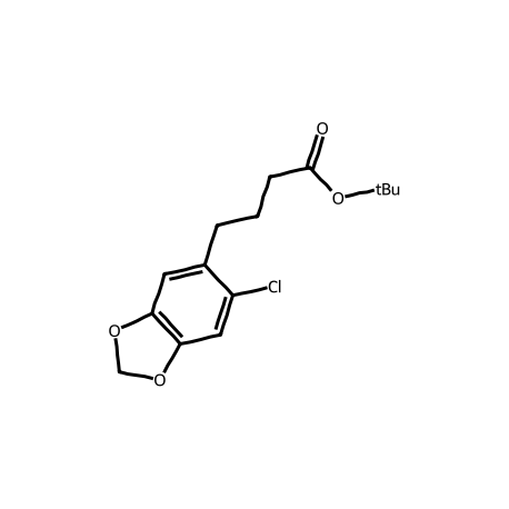 CC(C)(C)OC(=O)CCCc1cc2c(cc1Cl)OCO2